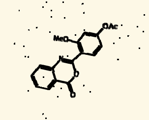 COc1cc(OC(C)=O)ccc1-c1nc2ccccc2c(=O)o1